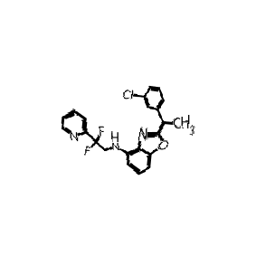 CC(c1cccc(Cl)c1)c1nc2c(NCC(F)(F)c3ccccn3)cccc2o1